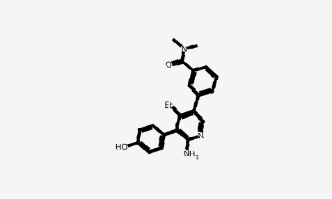 CCc1c(-c2cccc(C(=O)N(C)C)c2)cnc(N)c1-c1ccc(O)cc1